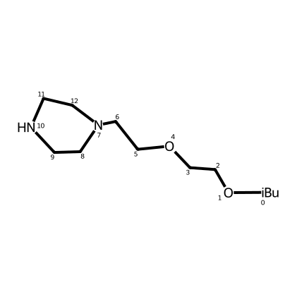 CCC(C)OCCOCCN1CCNCC1